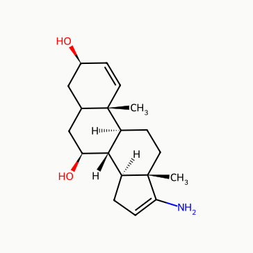 C[C@]12C=C[C@H](O)CC1C[C@H](O)[C@@H]1[C@@H]2CC[C@]2(C)C(N)=CC[C@@H]12